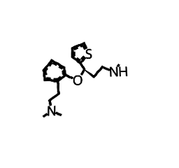 CNCC[C@@H](Oc1ccccc1CCN(C)C)c1cccs1